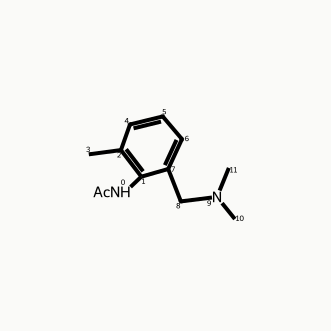 CC(=O)Nc1c(C)cccc1CN(C)C